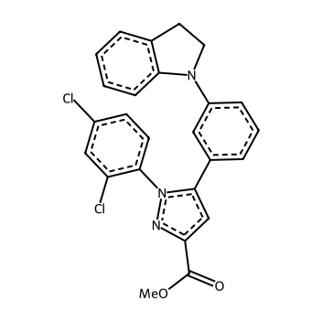 COC(=O)c1cc(-c2cccc(N3CCc4ccccc43)c2)n(-c2ccc(Cl)cc2Cl)n1